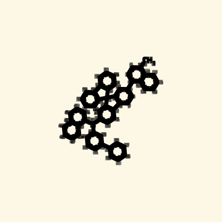 Cc1ccc(-c2ccc3c(c2)C2(c4ccccc4-c4ccccc42)c2cc(N(c4cccc(-c5ccccc5)c4)c4cccc5ccccc45)ccc2-3)c2ccccc12